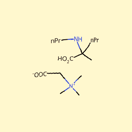 CCCNC(C)(CCC)C(=O)O.C[N+](C)(C)CC(=O)[O-]